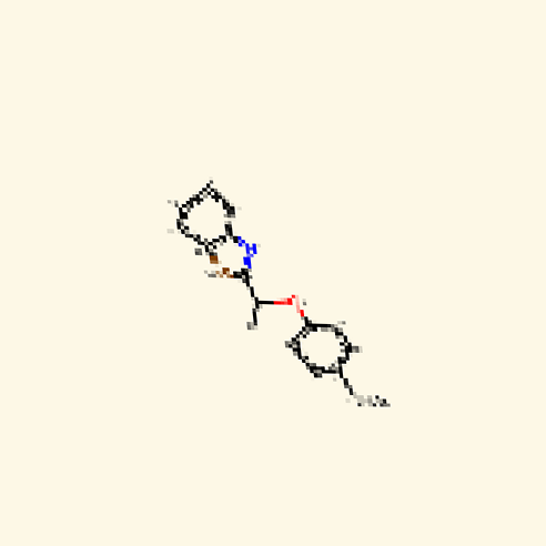 CC(=O)Nc1ccc(OC(C)c2nc3ccccc3s2)cc1